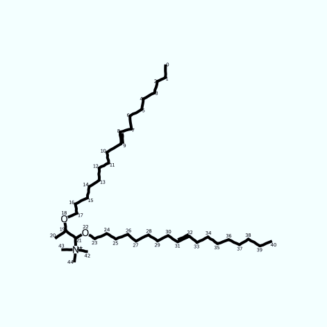 CCCCCCCCC=CCCCCCCCCOC(C)C(OCCCCCCCCC=CCCCCCCCC)[N+](C)(C)C